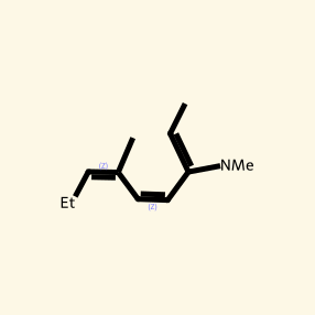 CC=C(/C=C\C(C)=C/CC)NC